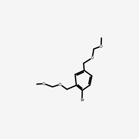 COCOCc1ccc(Br)c(COCOC)c1